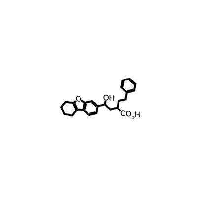 O=C(O)C(CCc1ccccc1)CC(O)c1ccc2c3c(oc2c1)CCCC3